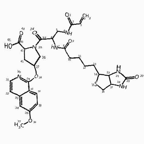 C=CC(=O)NCC(NC(=O)CCCCC1SCC2NC(=O)NC21)C(=O)N1CC(Oc2nccc3cc(OC)ccc23)CC1C(=O)O